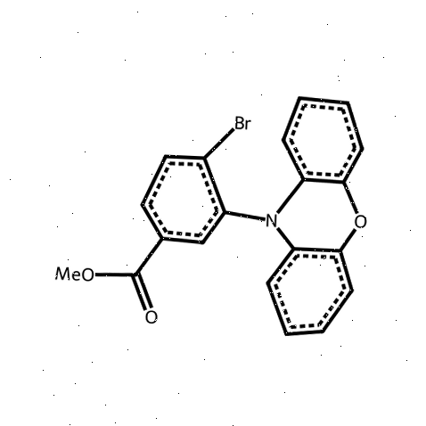 COC(=O)c1ccc(Br)c(N2c3ccccc3Oc3ccccc32)c1